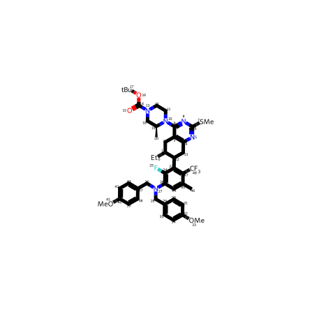 CCC1Cc2c(nc(SC)nc2N2CCN(C(=O)OC(C)(C)C)C[C@@H]2C)CC1c1c(F)c(N(Cc2ccc(OC)cc2)Cc2ccc(OC)cc2)cc(C)c1C(F)(F)F